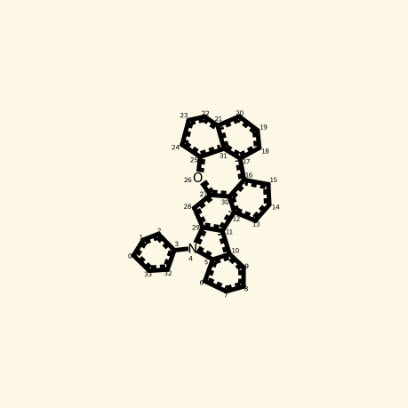 c1ccc(-n2c3ccccc3c3c4cccc5c6cccc7cccc(oc(cc32)c54)c76)cc1